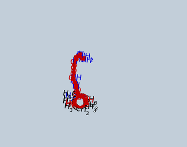 CO[C@H]1C[C@@H]2CC[C@@H](C)[C@@](O)(O2)C(=O)C(=O)N2CCCC[C@H]2C(=O)O[C@H]([C@H](N)C[C@@H]2CC[C@@H](OC(=O)N3CCc4nc(N5CCN(c6ncc(C(=O)NCCOCCOCCOCCOCCC(=O)N7CCc8cc(Cn9nc(-c%10cnc%11[nH]ccc%11c%10)c%10c(N)ncnc%109)ccc8C7)cn6)CC5)ncc4C3)[C@H](OC)C2)CC(=O)[C@H](C)/C=C(\C)[C@@H](O)[C@@H](O)C(=O)[C@H](C)C[C@H](C)/C=C/C=C/C=C/1C